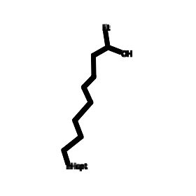 [CH2]CCCCCCCCCCCCCC(O)CC